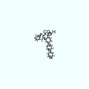 O=C(O)c1c(F)n(Cc2cscn2)c2cc(N3CCN(c4ccncc4)CC3)ccc2c1=O